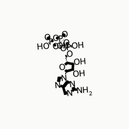 Nc1ncc2ncn([C@@H]3O[C@H](COP(=O)(O)OP(=O)(O)OP(=O)(O)O)C(O)[C@@H]3O)c2n1